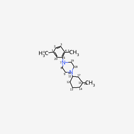 Cc1ccc(C)c(N2CCN(C3CCCC(C)C3)CC2)c1